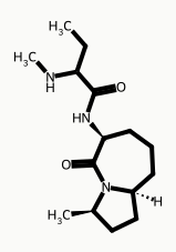 CCC(NC)C(=O)N[C@H]1CCC[C@H]2CC[C@@H](C)N2C1=O